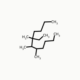 CCCCC(C)C(C)C(C)(CC)CCCC